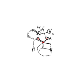 CC(C)(C)OC(=O)C1C2CCN1CC(O)(c1ncccc1Cl)C2